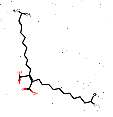 CC(C)CCCCCCCCCC/C(C(=O)O)=C(\CCCCCCCCCCC(C)C)C(=O)O